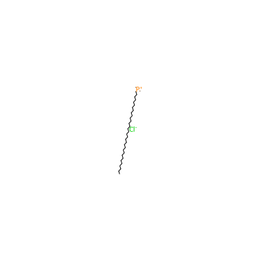 CCCCCCCCCCCCCCCCCCCCCCCCCCCCCCCC[P+](C)(C)C.[Cl-]